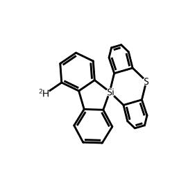 [2H]c1cccc2c1-c1ccccc1[Si]21c2ccccc2Sc2ccccc21